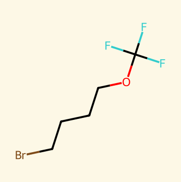 FC(F)(F)OCCCCBr